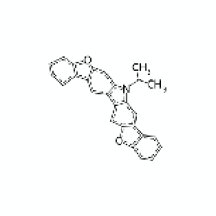 CC(C)n1c2cc3oc4ccccc4c3cc2c2cc3oc4ccccc4c3cc21